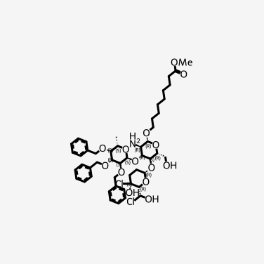 COC(=O)CCCCCCCCO[C@@H]1O[C@H](CO)[C@@H](O[C@H]2CC[C@](O)(Cl)[C@@H](C(O)Cl)O2)[C@H](O[C@@H]2O[C@@H](C)[C@@H](OCc3ccccc3)[C@@H](OCc3ccccc3)[C@@H]2OCc2ccccc2)[C@H]1N